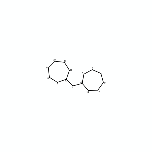 C1CCCC(CC2CCCCCC2)CC1